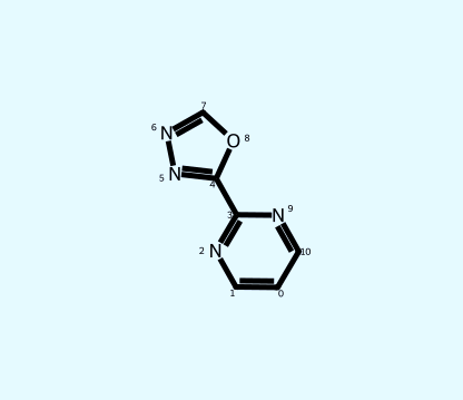 c1cnc(-c2nnco2)nc1